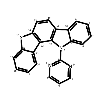 c1cnc(-n2c3ccccc3c3ccc4sc5ccccc5c4c32)nc1